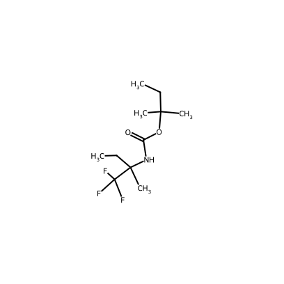 CCC(C)(C)OC(=O)NC(C)(CC)C(F)(F)F